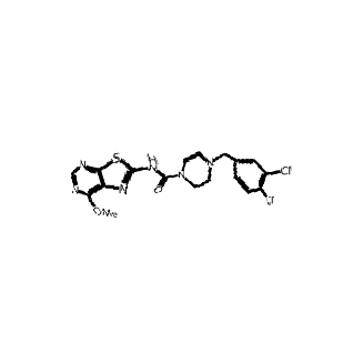 COc1ncnc2sc(NC(=O)N3CCN(Cc4ccc(Cl)c(Cl)c4)CC3)nc12